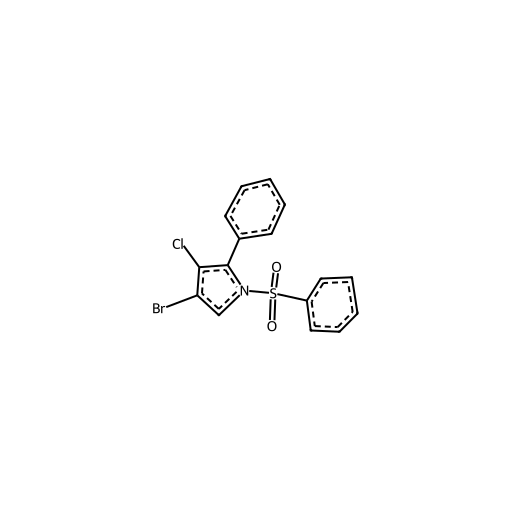 O=S(=O)(c1ccccc1)n1cc(Br)c(Cl)c1-c1ccccc1